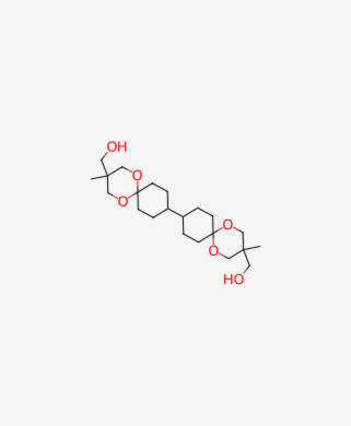 CC1(CO)COC2(CCC(C3CCC4(CC3)OCC(C)(CO)CO4)CC2)OC1